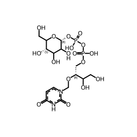 O=c1ccn(CO[C@H](COP(=O)(O)OP(=O)(O)O[C@H]2OC(CO)[C@@H](O)C(O)C2O)C(O)CO)c(=O)[nH]1